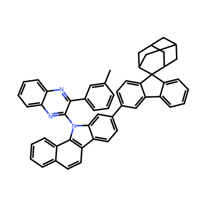 Cc1cccc(-c2nc3ccccc3nc2-n2c3cc(-c4ccc5c(c4)-c4ccccc4C54C5CC6CC(C5)CC4C6)ccc3c3ccc4ccccc4c32)c1